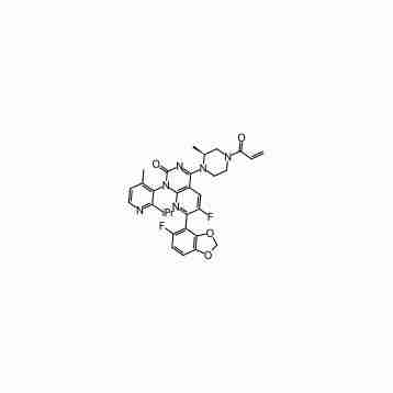 C=CC(=O)N1CCN(c2nc(=O)n(-c3c(C)ccnc3C(C)C)c3nc(-c4c(F)ccc5c4OCO5)c(F)cc23)[C@@H](C)C1